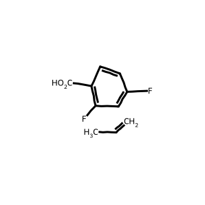 C=CC.O=C(O)c1ccc(F)cc1F